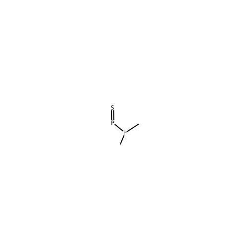 CP(C)P=S